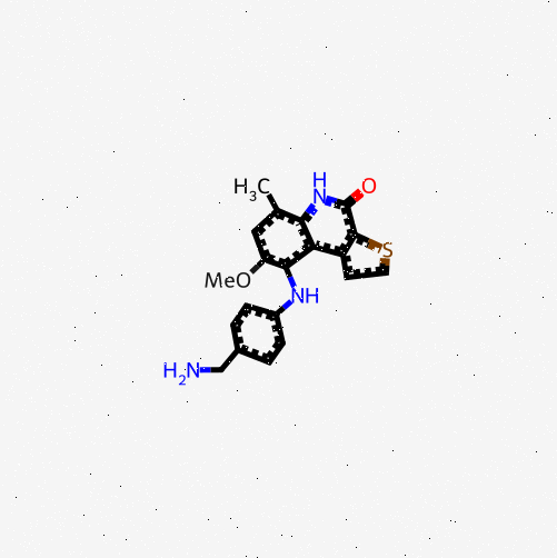 COc1cc(C)c2[nH]c(=O)c3sccc3c2c1Nc1ccc(CN)cc1